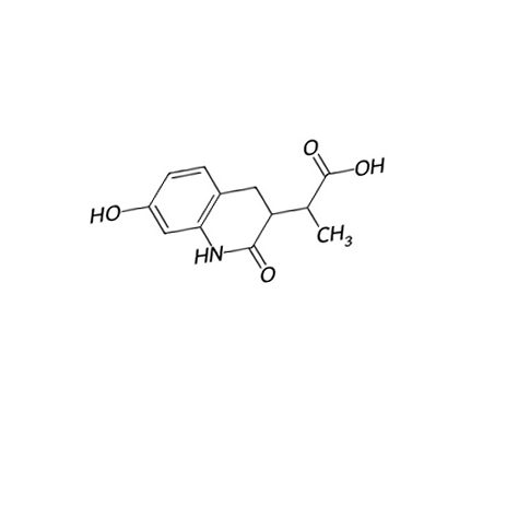 CC(C(=O)O)C1Cc2ccc(O)cc2NC1=O